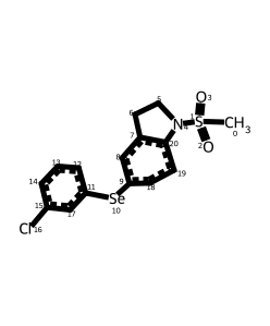 CS(=O)(=O)N1CCc2cc([Se]c3cccc(Cl)c3)ccc21